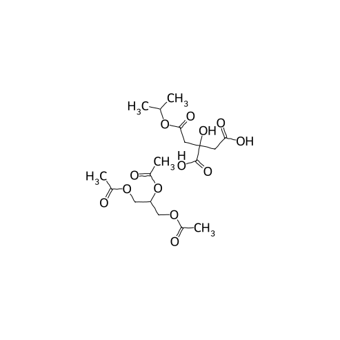 CC(=O)OCC(COC(C)=O)OC(C)=O.CC(C)OC(=O)CC(O)(CC(=O)O)C(=O)O